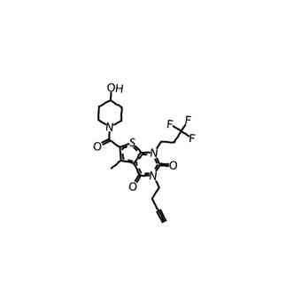 C#CCCn1c(=O)c2c(C)c(C(=O)N3CCC(O)CC3)sc2n(CCC(F)(F)F)c1=O